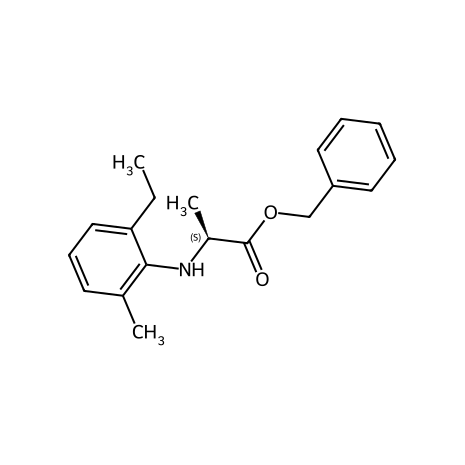 CCc1cccc(C)c1N[C@@H](C)C(=O)OCc1ccccc1